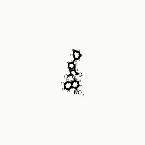 O=C1C2C3CC(c4ccccc4)C(C3)C2C(=O)N1c1ccc([N+](=O)[O-])c2ccccc12